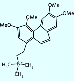 COc1cc2ccc3c(CC[N+](C)(C)C)cc(OC)c(OC)c3c2cc1OC